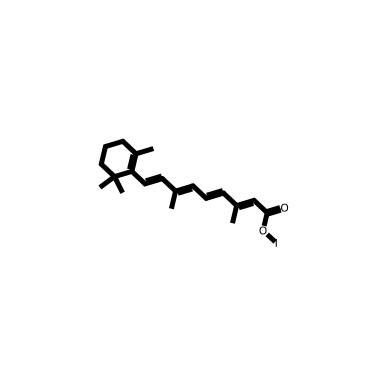 CC1=C(/C=C/C(C)=C/C=C/C(C)=C/C(=O)OI)C(C)(C)CCC1